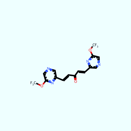 O=C(/C=C/c1cncc(OC(F)(F)F)n1)/C=C/c1cncc(OC(F)(F)F)n1